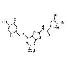 O=C(O)c1cc(OCc2cc(=O)c(O)c[nH]2)c2nc(NC(=O)c3cc(Br)c(Br)[nH]3)sc2c1